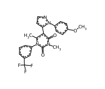 COc1ccc(-n2nccc2-c2c(C)n(-c3cccc(C(F)(F)F)c3)c(=O)n(C)c2=O)cc1